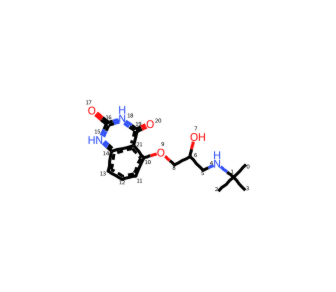 CC(C)(C)NCC(O)COc1cccc2[nH]c(=O)[nH]c(=O)c12